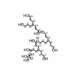 O=P(O)(O)O.OCCCP(CCCO)CCCO.OCCCP(CCCO)CCCO.OCCCP(CCCO)CCCO